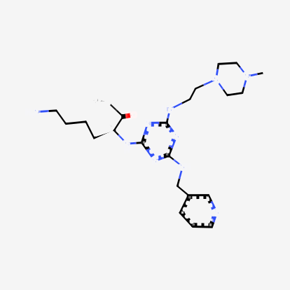 COC(=O)[C@H](CCCCN)Nc1nc(NCCN2CCN(C)CC2)nc(NCc2cccnc2)n1